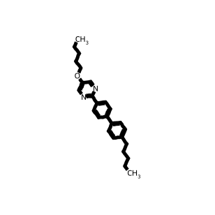 CCCCCOc1cnc(-c2ccc(-c3ccc(CCCCC)cc3)cc2)nc1